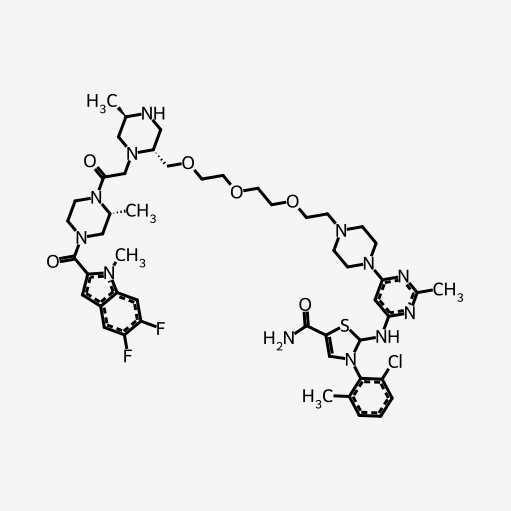 Cc1nc(NC2SC(C(N)=O)=CN2c2c(C)cccc2Cl)cc(N2CCN(CCOCCOCCOC[C@H]3CN[C@H](C)CN3CC(=O)N3CCN(C(=O)c4cc5cc(F)c(F)cc5n4C)C[C@H]3C)CC2)n1